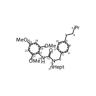 CCCCCCCN(Cc1ccc(CCC(C)C)cc1)C(=O)Nc1c(OC)cc(OC)cc1OC